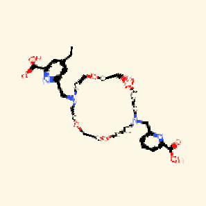 CCc1cc(CN2CCOCCOCCN(Cc3cccc(C(=O)O)n3)CCOCCOCC2)nc(C(=O)O)c1